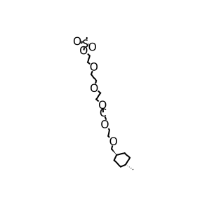 CS(=O)(=O)OCCOCCOCCOCCOCCOC[C@H]1CC[C@H](C)CC1